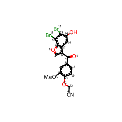 COc1cc(C(=O)c2coc3c(Br)c(Br)c(O)cc23)ccc1OCC#N